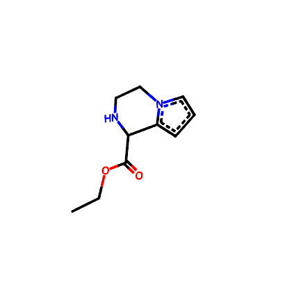 CCOC(=O)C1NCCn2cccc21